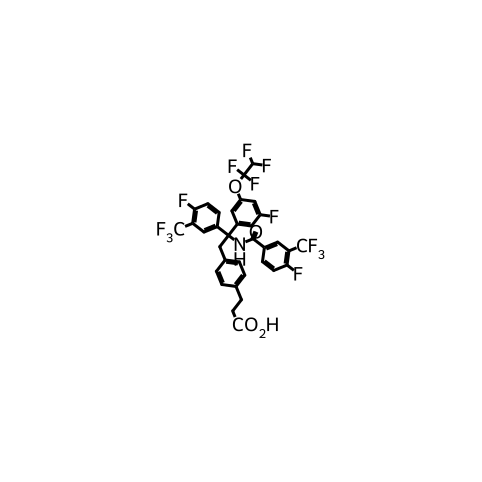 O=C(O)CCc1ccc(CC(NC(=O)c2ccc(F)c(C(F)(F)F)c2)(c2cc(F)cc(OC(F)(F)C(F)F)c2)c2ccc(F)c(C(F)(F)F)c2)cc1